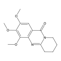 COc1cc2c(=O)n3c(nc2c(OC)c1OC)CCCC3